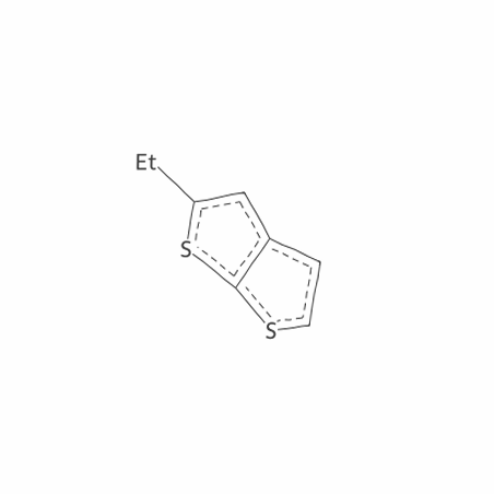 CCc1cc2ccsc2s1